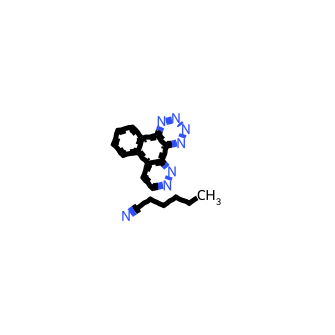 CCCCCC#N.c1ccc2c(c1)c1ccnnc1c1nnnnc21